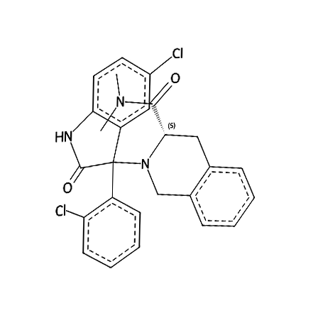 CN(C)C(=O)[C@@H]1Cc2ccccc2CN1C1(c2ccccc2Cl)C(=O)Nc2ccc(Cl)cc21